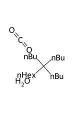 CCCCCCC(CCCC)(CCCC)CCCC.O.O=C=O